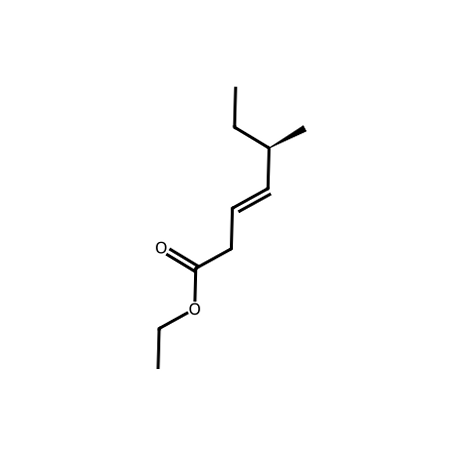 CCOC(=O)C/C=C/[C@H](C)CC